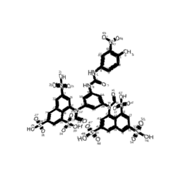 Cc1ccc(NC(=O)Nc2cc(N(C=O)c3cc(S(=O)(=O)O)cc4cc(S(=O)(=O)O)cc(S(=O)(=O)O)c34)cc(N(C=O)c3cc(S(=O)(=O)O)cc4cc(S(=O)(=O)O)cc(S(=O)(=O)O)c34)c2)cc1[N+](=O)[O-]